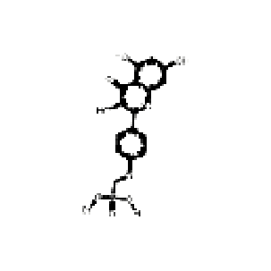 CCOP(=O)(COc1ccc(-c2oc3cc(O)cc(O)c3c(=O)c2O)cc1)OCC